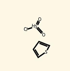 O=[SH](=O)Cl.c1ccsc1